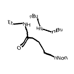 CCCCCCCCCCCC(=O)NCC.CCCCNCCCC